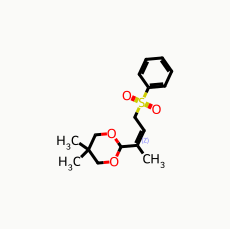 C/C(=C/CS(=O)(=O)c1ccccc1)C1OCC(C)(C)CO1